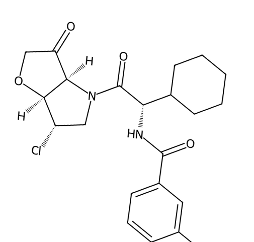 O=C(N[C@H](C(=O)N1C[C@H](Cl)[C@H]2OCC(=O)[C@H]21)C1CCCCC1)c1cccc(F)c1